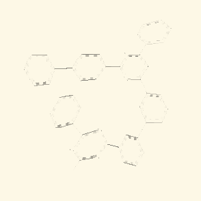 Cc1nc(-c2ccccc2)nc(-c2cccc(-c3cccc(-c4cc(-c5ccccc5)nc(-c5ccc(-c6ccccc6)cc5)n4)c3)c2)n1